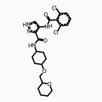 O=C(NC1CCC(OCC2CCCCO2)CC1)c1n[nH]cc1NC(=O)c1c(Cl)cccc1Cl